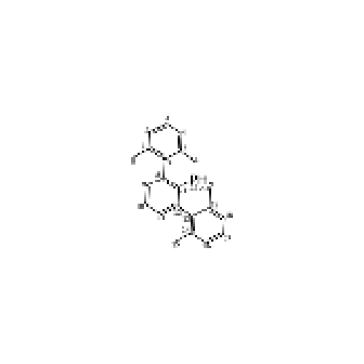 Cc1cccc(C)c1-c1cccc(-c2c(C)cccc2C)c1P